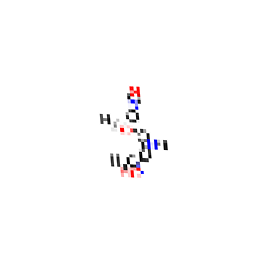 CCn1c2ccc(C(=O)c3ccc(N4CCOCC4)cc3C)cc2c2cc(C(C)=NO)ccc21